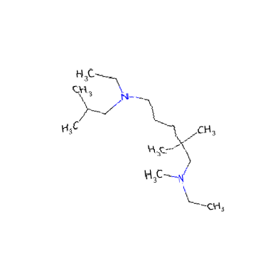 CCN(C)CC(C)(C)CCCN(CC)CC(C)C